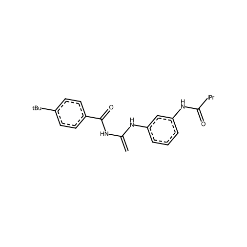 C=C(NC(=O)c1ccc(C(C)(C)C)cc1)Nc1cccc(NC(=O)C(C)C)c1